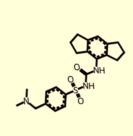 CN(C)Cc1ccc(S(=O)(=O)NC(=O)Nc2c3c(cc4c2CCC4)CCC3)cc1